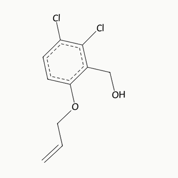 C=CCOc1ccc(Cl)c(Cl)c1CO